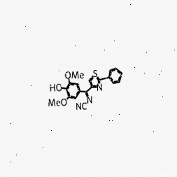 COc1cc(/C(=N\C#N)c2csc(-c3ccccc3)n2)cc(OC)c1O